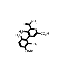 COc1ccc(C)c(-c2cc(C(=O)O)nc(C(N)=O)c2N)c1C